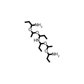 CCC(N)OC(C)OC(CC)NC(CC)OC(C)OC(N)CC